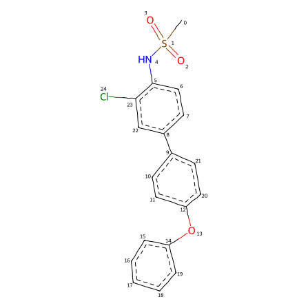 CS(=O)(=O)Nc1ccc(-c2ccc(Oc3ccccc3)cc2)cc1Cl